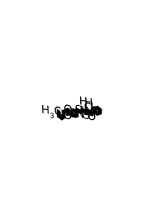 CN1CCCC1CS(=O)(=O)c1ccc2nc(NC(=O)NC(=O)c3ccccc3Cl)sc2c1